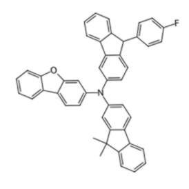 CC1(C)c2ccccc2-c2ccc(N(c3ccc4c(c3)-c3ccccc3C4c3ccc(F)cc3)c3ccc4c(c3)oc3ccccc34)cc21